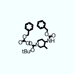 CC1CN(C(=O)OC(C)(C)C)CCC1NC(=O)OCc1ccccc1.O=C(Cl)OCc1ccccc1